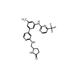 Cc1cc(Nc2nccc(C(F)(F)F)n2)cc(-c2ccnc(NCC3CCC(=O)N3)c2)c1